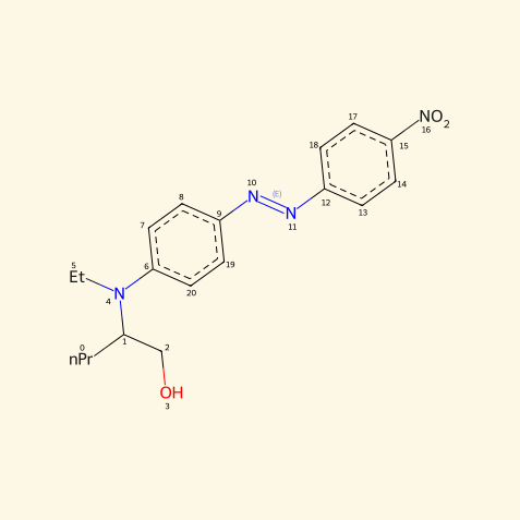 CCCC(CO)N(CC)c1ccc(/N=N/c2ccc([N+](=O)[O-])cc2)cc1